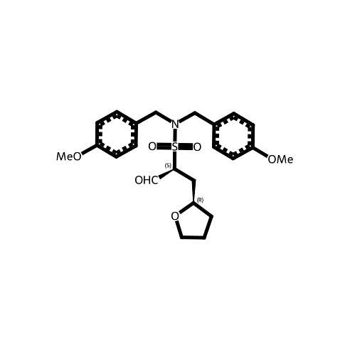 COc1ccc(CN(Cc2ccc(OC)cc2)S(=O)(=O)[C@H](C=O)C[C@H]2CCCO2)cc1